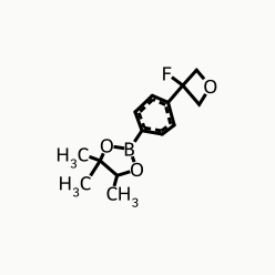 CC1OB(c2ccc(C3(F)COC3)cc2)OC1(C)C